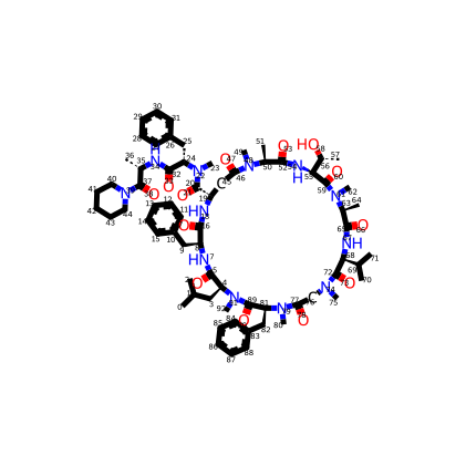 CC(C)C[C@H]1C(=O)N[C@@H](Cc2ccccc2)C(=O)N[C@H](C(=O)N(C)[C@@H](Cc2ccccc2)C(=O)N[C@@H](C)C(=O)N2CCCCC2)CC(=O)N(C)[C@@H](C)C(=O)N[C@@H]([C@@H](C)O)C(=O)N(C)[C@@H](C)C(=O)N[C@@H](C(C)C)C(=O)N(C)CC(=O)N(C)[C@@H](Cc2ccccc2)C(=O)N1C